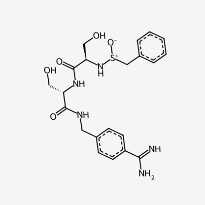 N=C(N)c1ccc(CNC(=O)[C@H](CO)NC(=O)[C@@H](CO)N[S+]([O-])Cc2ccccc2)cc1